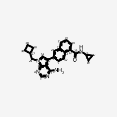 Nc1ncnc2c1c(-c1ccc3c(C(=O)NC4CC4)cccc3c1)cn2CC1CCC1